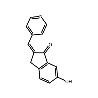 O=C1C(=Cc2ccncc2)Cc2ccc(O)cc21